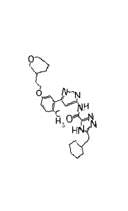 Cc1ccc(OCCC2CCCOC2)cc1-c1cc(NC(=O)c2nnc(CC3CCCCC3)[nH]2)ncn1